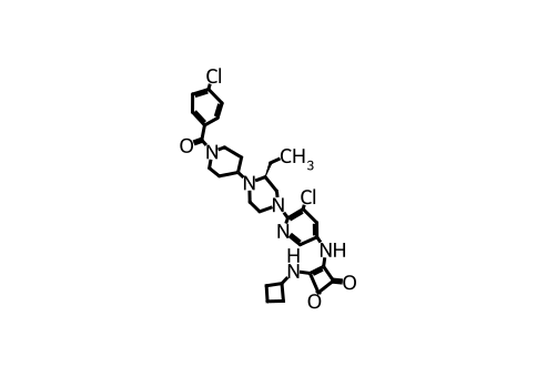 CC[C@H]1CN(c2ncc(Nc3c(NC4CCC4)c(=O)c3=O)cc2Cl)CCN1C1CCN(C(=O)c2ccc(Cl)cc2)CC1